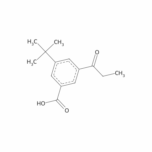 CCC(=O)c1cc(C(=O)O)cc(C(C)(C)C)c1